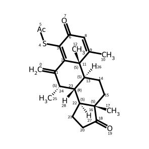 C=C1C2=C(SC(C)=O)C(=O)C=C(C)[C@]2(C)[C@H]2CC[C@]3(C)C(=O)CC[C@H]3[C@@H]2[C@@H]1C